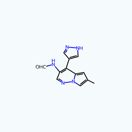 Cc1cc2c(-c3cn[nH]c3)c(NC=O)cnn2c1